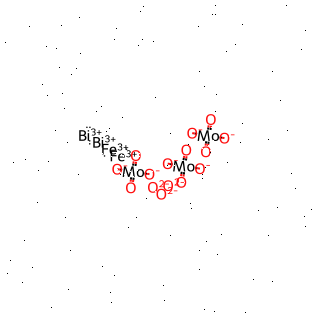 [Bi+3].[Bi+3].[Fe+3].[Fe+3].[O-2].[O-2].[O-2].[O]=[Mo](=[O])([O-])[O-].[O]=[Mo](=[O])([O-])[O-].[O]=[Mo](=[O])([O-])[O-]